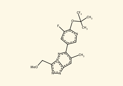 COCc1nnc2cc(C)c(-c3cnc(OC(C)(C)C(F)(F)F)c(F)c3)nn12